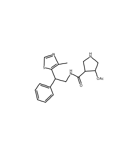 CC(=O)OC1CNCC1C(=O)NCC(c1ccccc1)c1scnc1C